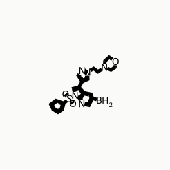 Bc1cnc2c(c1)c(-c1cnn(CCN3CCOCC3)c1)cn2S(=O)(=O)c1ccccc1